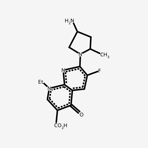 CCn1cc(C(=O)O)c(=O)c2cc(F)c(N3CC(N)CC3C)nc21